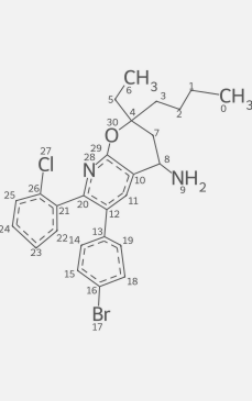 CCCCC1(CC)CC(N)c2cc(-c3ccc(Br)cc3)c(-c3ccccc3Cl)nc2O1